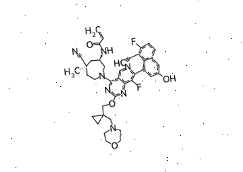 C#Cc1c(F)ccc2cc(O)cc(-c3ncc4c(N5CC[C@@](C)(C#N)C[C@@H](NC(=O)C=C)C5)nc(OCC5(CN6CCOCC6)CC5)nc4c3F)c12